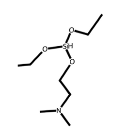 CCO[SiH](OCC)OCCN(C)C